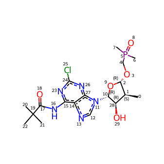 C[C@@H]1[C@@H](OCP(C)(C)=O)O[C@@H](n2cnc3c(NC(=O)C(C)(C)C)nc(Cl)nc32)[C@@H]1O